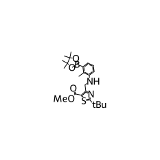 COC(=O)c1sc(C(C)(C)C)nc1CNc1cccc(B2OC(C)(C)C(C)(C)O2)c1C